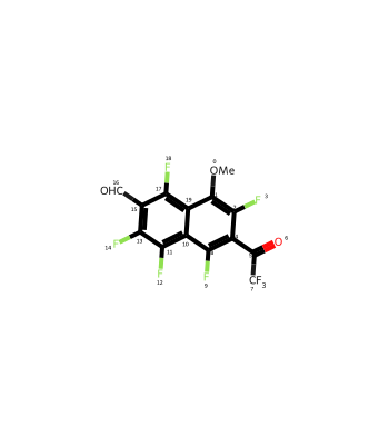 COc1c(F)c(C(=O)C(F)(F)F)c(F)c2c(F)c(F)c(C=O)c(F)c12